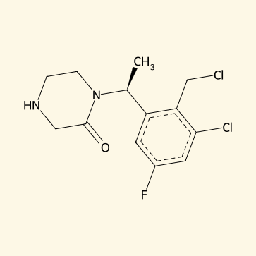 C[C@@H](c1cc(F)cc(Cl)c1CCl)N1CCNCC1=O